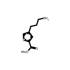 COC(=O)c1cc(CCCN)cs1